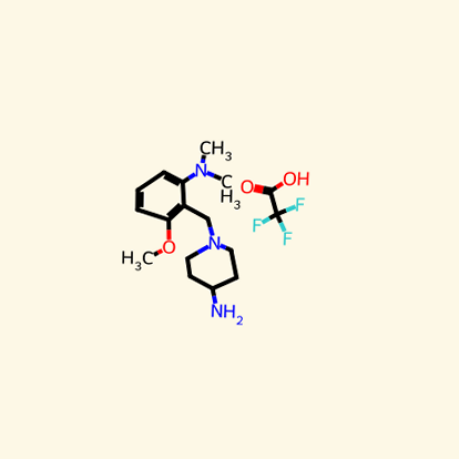 COc1cccc(N(C)C)c1CN1CCC(N)CC1.O=C(O)C(F)(F)F